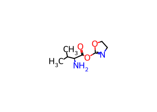 CC(C)[C@H](N)C(=O)OC1=NCCO1